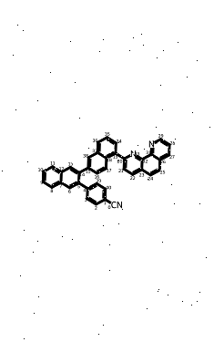 N#Cc1ccc(-c2cc3ccccc3cc2-c2ccc3c(-c4ccc5ccc6cccnc6c5n4)cccc3c2)cc1